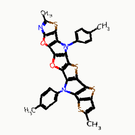 Cc1ccc(-n2c3c(oc4nc(C)sc43)c3oc4c(sc5c6sc7cc(C)sc7c6n(-c6ccc(C)cc6)c45)c32)cc1